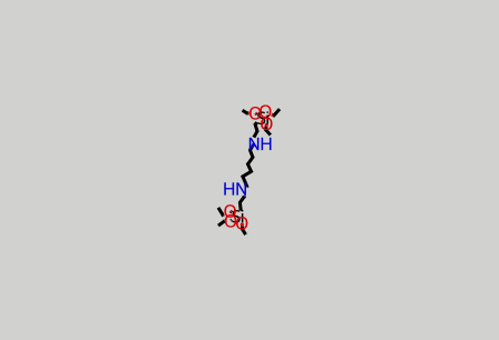 CCO[Si](CCCNCCCCCCNCCC[Si](OCC)(OCC)OCC)(OCC)OCC